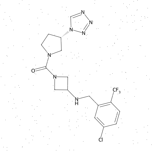 O=C(N1CC(NCc2cc(Cl)ccc2C(F)(F)F)C1)N1CC[C@H](n2cnnn2)C1